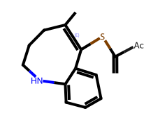 C=C(S/C1=C(\C)CCCNc2ccccc21)C(C)=O